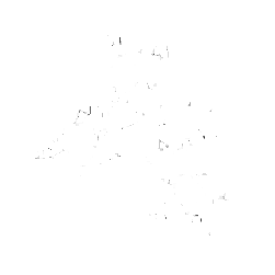 CCC1(C2CCNC2)C(c2ccc(Cl)c(Cl)c2)C(C(N)=O)(c2ccc(F)cc2)CCN1C(=O)c1cc(OC)c(OC)c(OC)c1